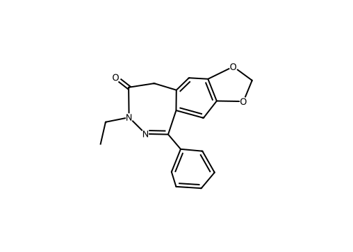 CCN1N=C(c2ccccc2)c2cc3c(cc2CC1=O)OCO3